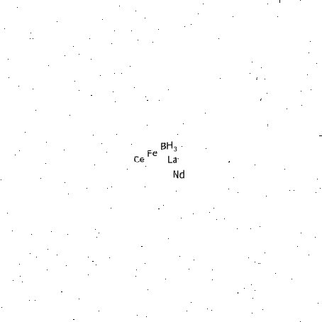 B.[Ce].[Fe].[La].[Nd]